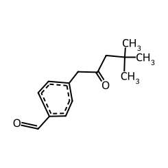 CC(C)(C)CC(=O)Cc1ccc(C=O)cc1